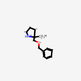 O=C(O)C1(COCc2ccccc2)CCCN1